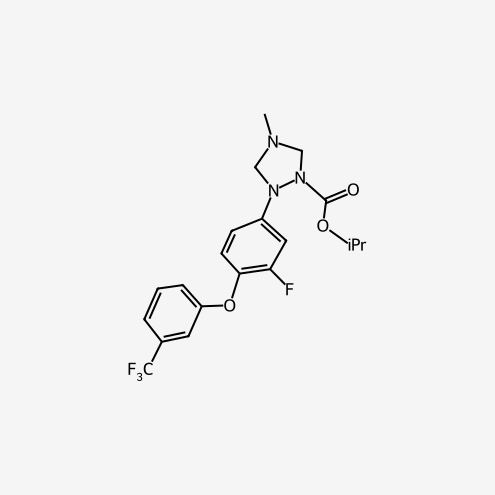 CC(C)OC(=O)N1CN(C)CN1c1ccc(Oc2cccc(C(F)(F)F)c2)c(F)c1